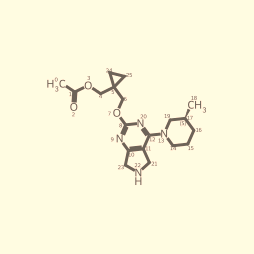 CC(=O)OCC1(COc2nc3c(c(N4CCC[C@H](C)C4)n2)CNC3)CC1